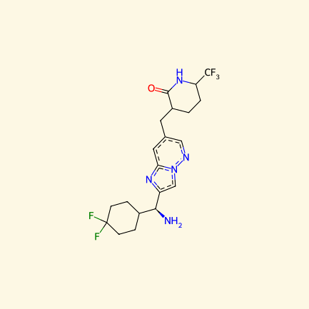 N[C@H](c1cn2ncc(CC3CCC(C(F)(F)F)NC3=O)cc2n1)C1CCC(F)(F)CC1